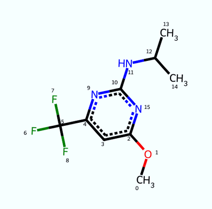 COc1cc(C(F)(F)F)nc(NC(C)C)n1